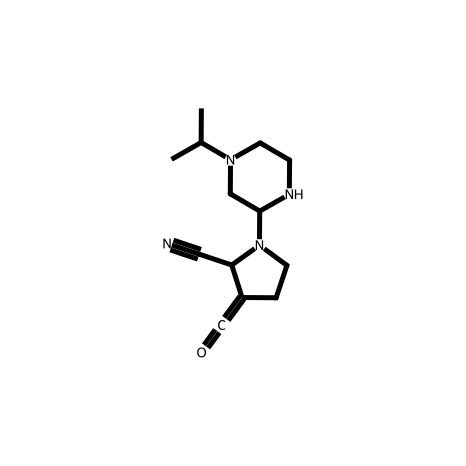 CC(C)N1CCNC(N2CCC(=C=O)C2C#N)C1